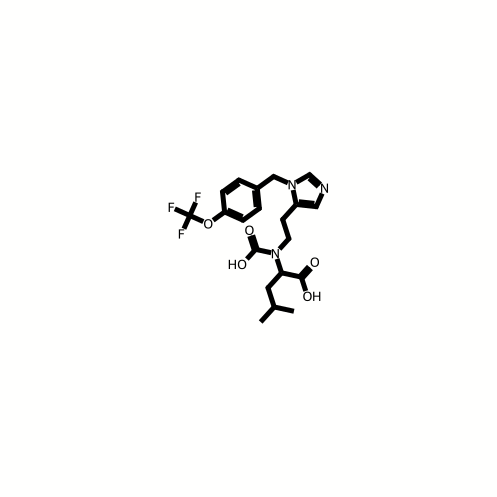 CC(C)CC(C(=O)O)N(CCc1cncn1Cc1ccc(OC(F)(F)F)cc1)C(=O)O